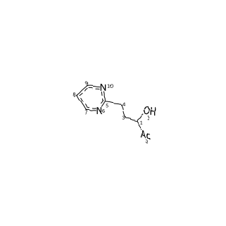 CC(=O)C(O)CCc1ncccn1